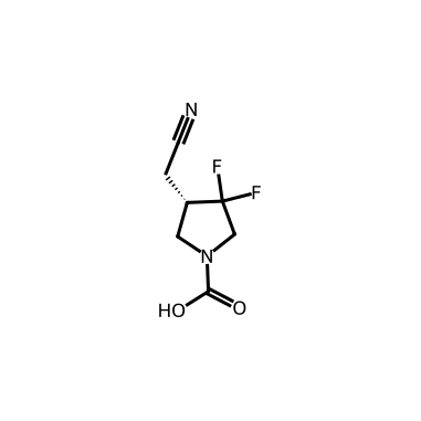 N#CC[C@H]1CN(C(=O)O)CC1(F)F